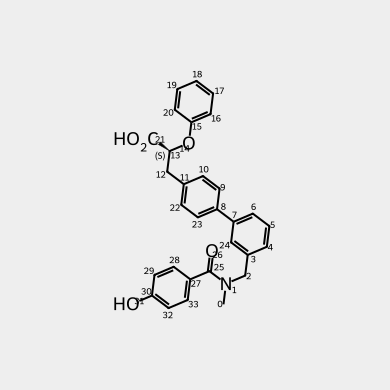 CN(Cc1cccc(-c2ccc(C[C@H](Oc3ccccc3)C(=O)O)cc2)c1)C(=O)c1ccc(O)cc1